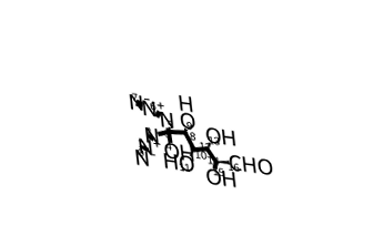 [N-]=[N+]=NC(O)(N=[N+]=[N-])[C@@H](O)[C@@H](O)[C@H](O)[C@H](O)C=O